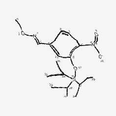 CO/N=C/c1ccc([N+](=O)[O-])c(O[Si](C(C)C)(C(C)C)C(C)C)c1